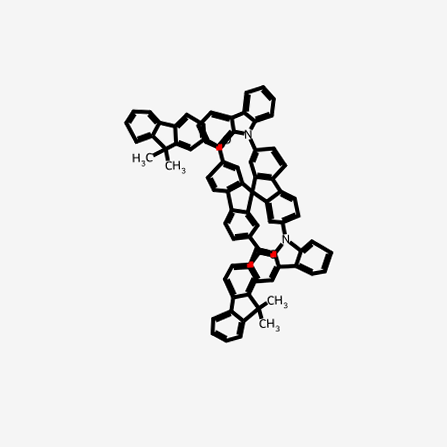 CC1(C)c2ccccc2-c2ccc(C(=O)c3ccc4c(c3)C3(c5cc(C(=O)c6ccc7c(c6)C(C)(C)c6ccccc6-7)ccc5-4)c4cc(-n5c6ccccc6c6ccccc65)ccc4-c4ccc(-n5c6ccccc6c6ccccc65)cc43)cc21